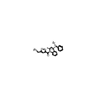 CC(=O)N(c1ccccc1)[C@@H]1C[C@H](C)N(C(=O)c2cc(CC(C)C)on2)c2ccccc21